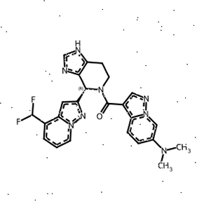 CN(C)c1ccc2c(C(=O)N3CCc4[nH]cnc4[C@@H]3c3cc4c(C(F)F)cccn4n3)cnn2c1